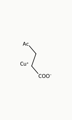 CC(=O)CCC(=O)[O-].[Cu+]